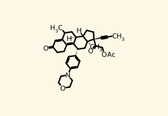 CC#C[C@]1(C(=O)COC(C)=O)CC[C@H]2[C@@H]3CC(C)C4=CC(=O)CCC4=C3[C@@H](c3ccc(N4CCOCC4)cc3)C[C@@]21C